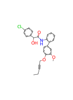 CCC#CCOc1ccc(-c2ccccc2NC(=O)C(O)c2ccc(Cl)cc2)cc1OC